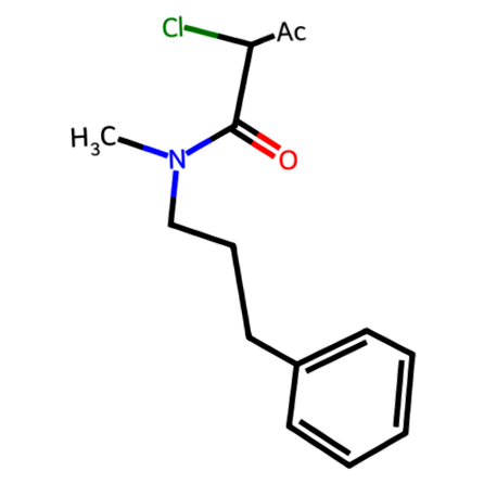 CC(=O)C(Cl)C(=O)N(C)CCCc1ccccc1